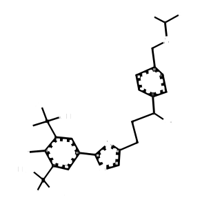 CC(C)NCc1ccc(C(O)CCc2coc(-c3cc(C(C)(C)C)c(O)c(C(C)(C)C)c3)n2)cc1